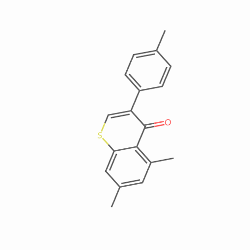 Cc1ccc(-c2csc3cc(C)cc(C)c3c2=O)cc1